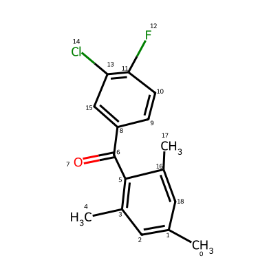 Cc1cc(C)c(C(=O)c2ccc(F)c(Cl)c2)c(C)c1